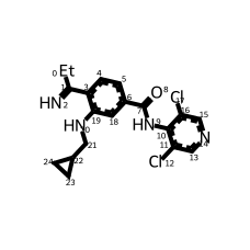 CCC(=N)c1ccc(C(=O)Nc2c(Cl)cncc2Cl)cc1NCC1CC1